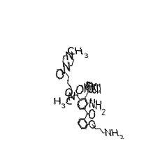 CN1CCN(C(=O)CCCON(C)C(=O)c2ccc(C(=O)c3ccccc3OCCCN)c(N)c2-c2ccccc2)CC1.Cl.Cl